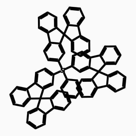 c1ccc([Si](c2ccc3c(c2)C2(c4ccccc4-c4ccccc42)c2ccccc2-3)(c2ccc3c(c2)C2(c4ccccc4-c4ccccc42)c2ccccc2-3)c2ccc3c(c2)C2(c4ccccc4-c4ccccc42)c2ccccc2-3)cc1